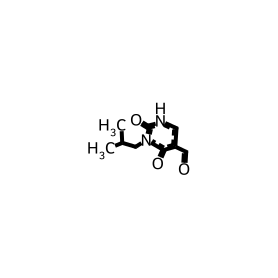 CC(C)Cn1c(=O)[nH]cc(C=O)c1=O